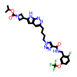 CC(C)OC(=O)N1CC(c2cc3cc(CCCCn4cc(C(=O)NCc5cc(OC(F)(F)F)ccc5F)nn4)nnc3[nH]2)C1